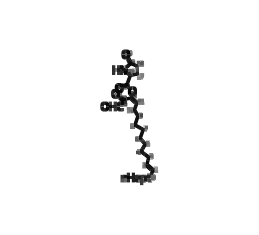 CCCCCCCC=CCCCCCCCCC=C(OC(=O)C1CCC(=O)N1)C(=O)C=O